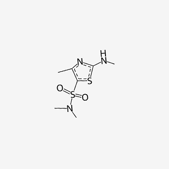 CNc1nc(C)c(S(=O)(=O)N(C)C)s1